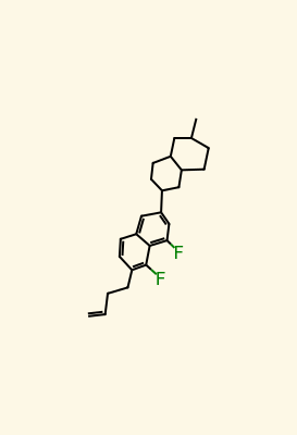 C=CCCc1ccc2cc(C3CCC4CC(C)CCC4C3)cc(F)c2c1F